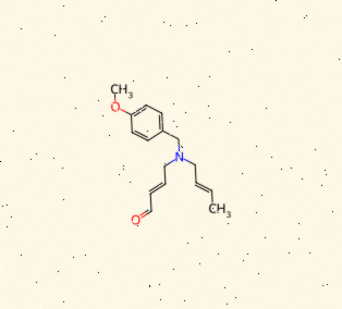 C/C=C/CN(C/C=C/C=O)Cc1ccc(OC)cc1